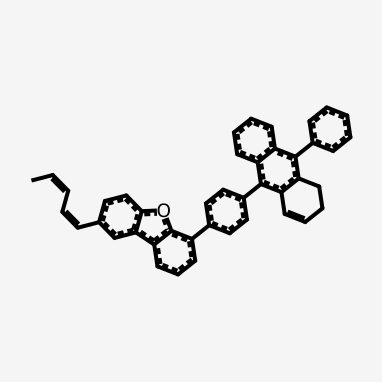 C/C=C\C=C/c1ccc2oc3c(-c4ccc(-c5c6c(c(-c7ccccc7)c7ccccc57)CCC=C6)cc4)cccc3c2c1